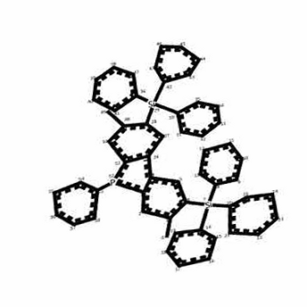 Cc1cc2c(cc1[Si](c1ccccc1)(c1ccccc1)c1ccccc1)c1cc([Si](c3ccccc3)(c3ccccc3)c3ccccc3)c(C)cc1p2-c1ccccc1